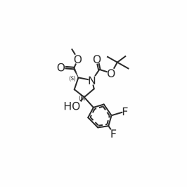 COC(=O)[C@@H]1C[C@@](O)(c2ccc(F)c(F)c2)CN1C(=O)OC(C)(C)C